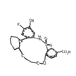 N#Cc1cc2c(cc1F)N1CCCCC1CCCCOc1ccc(C(=O)O)cc1S(=O)(=O)N2